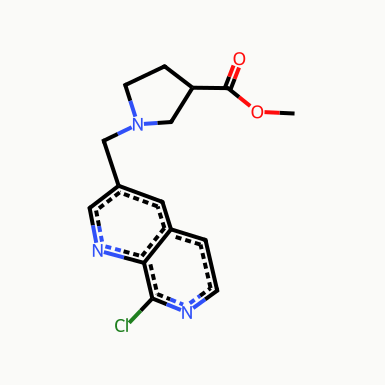 COC(=O)C1CCN(Cc2cnc3c(Cl)nccc3c2)C1